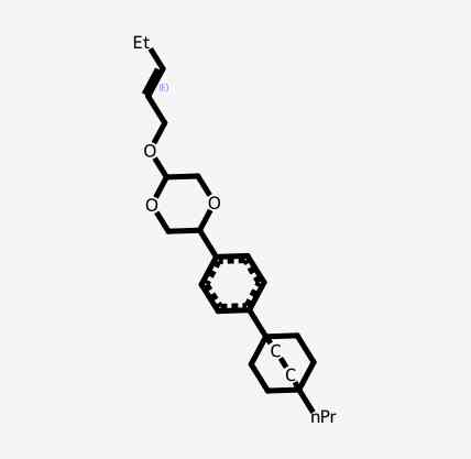 CC/C=C/COC1COC(c2ccc(C34CCC(CCC)(CC3)CC4)cc2)CO1